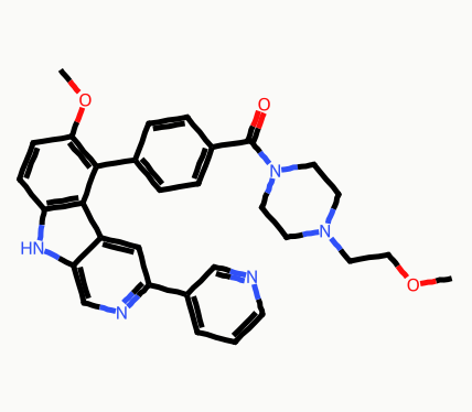 COCCN1CCN(C(=O)c2ccc(-c3c(OC)ccc4[nH]c5cnc(-c6cccnc6)cc5c34)cc2)CC1